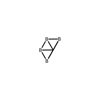 B12B3B4B1C234